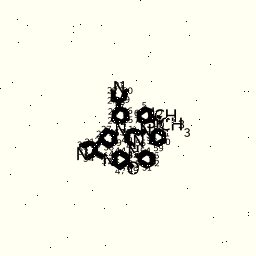 C[Si]1(C)c2ccccc2N(c2cc(N(c3ccc(-c4ccncc4)cc3)c3ccc(-c4ccncc4C#N)cc3)cc(N3c4ccccc4Oc4ccccc43)n2)c2ccccc21